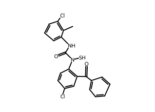 Cc1c(Cl)cccc1NC(=O)N(S)c1ccc(Cl)cc1C(=O)c1ccccc1